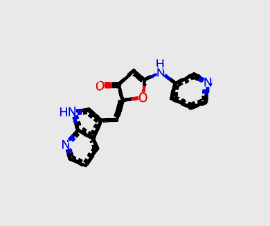 O=C1C=C(Nc2cccnc2)O/C1=C/c1c[nH]c2ncccc12